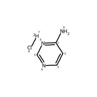 Nc1ccncn1.[2H]Cl